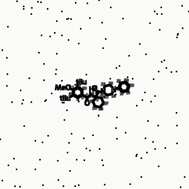 COc1c(C(C)(C)C)cc(C(=O)NC2(C(=O)N3CCN(c4ccccc4)CC3)CCCCC2)cc1C(C)(C)C